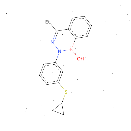 CCC1=NN(c2cccc(SC3CC3)c2)B(O)c2ccccc21